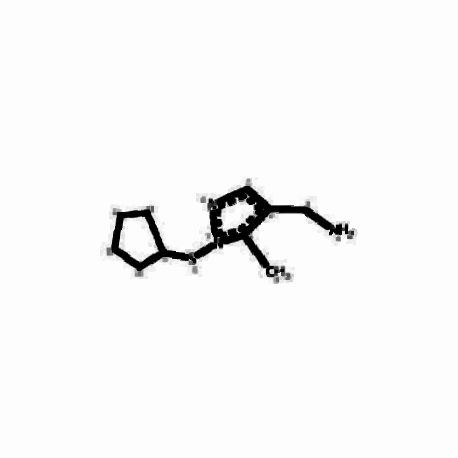 Cc1c(CN)cnn1SC1CCCC1